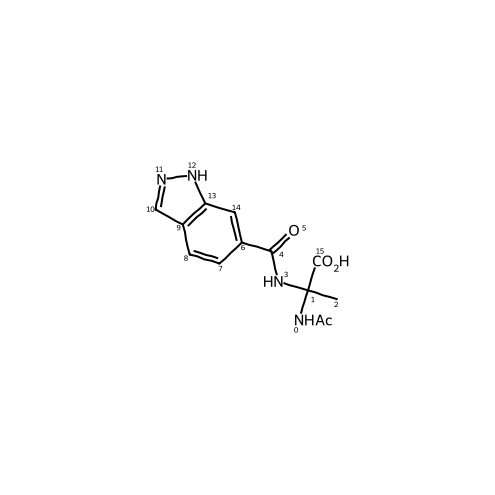 CC(=O)NC(C)(NC(=O)c1ccc2cn[nH]c2c1)C(=O)O